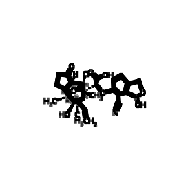 C=C[C@]1(C)C[C@@H](C(Oc2ccc3c(c2C#N)B(O)OC3)C(=O)O)[C@@]2(C)[C@H](C)CC[C@]3(CCC(=O)[C@H]32)[C@@H](C)[C@@H]1O